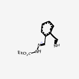 CCOC(=O)N/N=C/c1ccccc1C=N